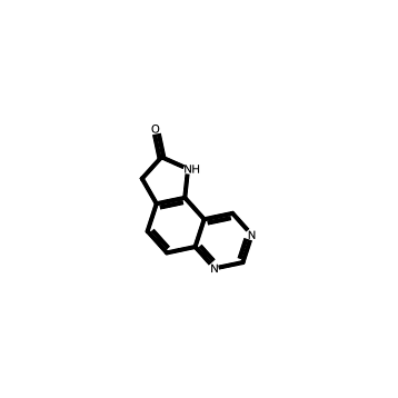 O=C1Cc2ccc3ncncc3c2N1